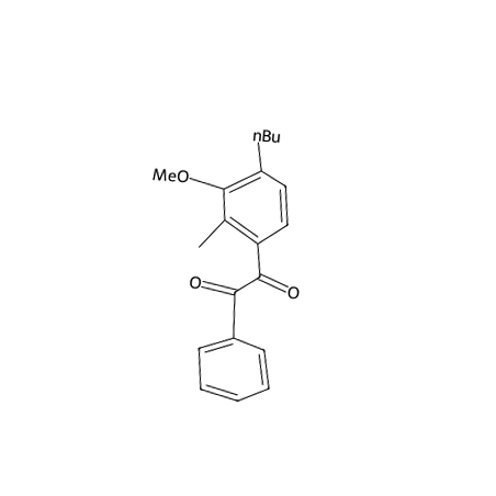 CCCCc1ccc(C(=O)C(=O)c2ccccc2)c(C)c1OC